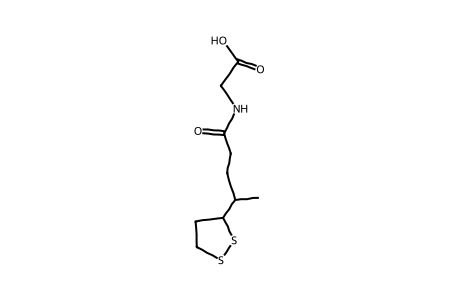 CC(CCC(=O)NCC(=O)O)C1CCSS1